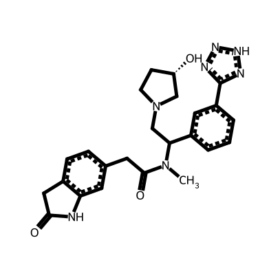 CN(C(=O)Cc1ccc2c(c1)NC(=O)C2)C(CN1CC[C@H](O)C1)c1cccc(-c2nn[nH]n2)c1